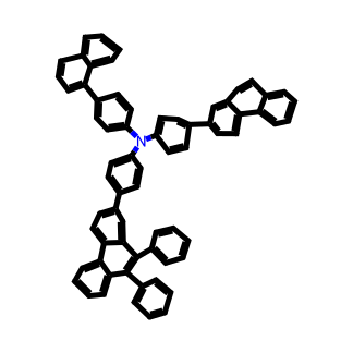 c1ccc(-c2c(-c3ccccc3)c3cc(-c4ccc(N(c5ccc(-c6ccc7c(ccc8ccccc87)c6)cc5)c5ccc(-c6cccc7ccccc67)cc5)cc4)ccc3c3ccccc23)cc1